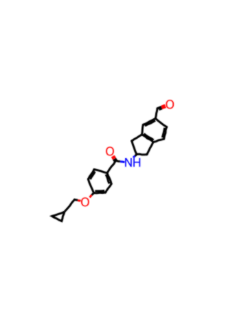 O=Cc1ccc2c(c1)CC(NC(=O)c1ccc(OCC3CC3)cc1)C2